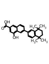 CC1(C)CCC(C)(C)c2cc(-c3ccc4cc(C(=O)O)cc(O)c4c3)ccc21